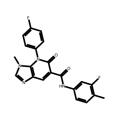 Cc1ccc(NC(=O)c2cc3ncn(C)c3n(-c3ccc(F)cc3)c2=O)cc1F